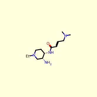 CCN1CC[C@H](NC(=O)/C=C/CN(C)C)[C@H](N)C1